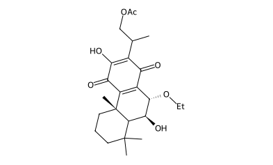 CCO[C@H]1C2=C(C(=O)C(O)=C(C(C)COC(C)=O)C2=O)[C@@]2(C)CCCC(C)(C)C2[C@@H]1O